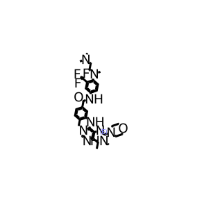 CCc1ncnc(Nc2cc(C(=O)Nc3ccc(N(C)CCN(C)C)c(C(F)(F)F)c3)ccc2C)c1/N=C(\NC)N1CCOCC1